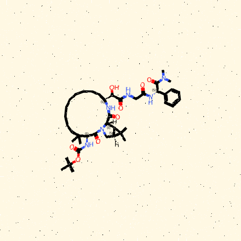 CN(C)C(=O)[C@@H](NC(=O)CNC(=O)C(O)[C@@H]1CCCCCCCCCC(C)(C)[C@H](NC(=O)OC(C)(C)C)C(=O)N2C[C@H]3C([C@H]2C(=O)N1)C3(C)C)c1ccccc1